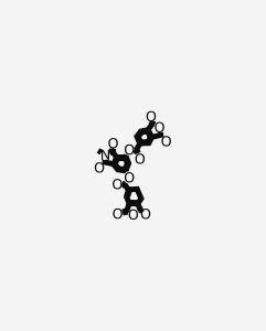 CN1C(=O)c2cc(OC(=O)C3=CC4=C(CC3)C(=O)OC4=O)cc(OC(=O)c3ccc4c(c3)C(=O)OC4=O)c2C1=O